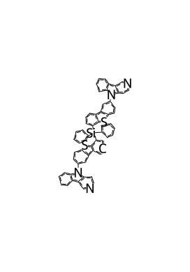 c1ccc([Si](c2ccccc2)(c2cccc3c2sc2ccc(-n4c5ccccc5c5cnccc54)cc23)c2cccc3c2sc2ccc(-n4c5ccccc5c5cnccc54)cc23)cc1